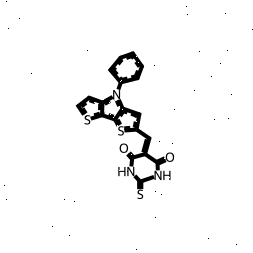 O=C1NC(=S)NC(=O)C1=Cc1cc2c(s1)c1sccc1n2-c1ccccc1